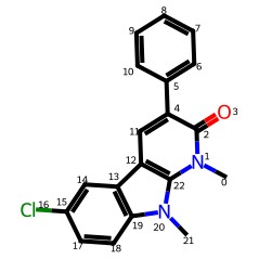 Cn1c(=O)c(-c2ccccc2)cc2c3cc(Cl)ccc3n(C)c21